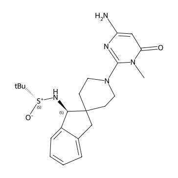 Cn1c(N2CCC3(CC2)Cc2ccccc2[C@H]3N[S@+]([O-])C(C)(C)C)nc(N)cc1=O